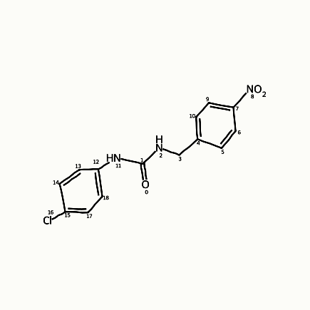 O=C(NCc1ccc([N+](=O)[O-])cc1)Nc1ccc(Cl)cc1